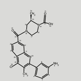 Cc1c(-c2cccc(N)c2)nc2cc(C(=O)N3CCN(C(=O)O)[C@H](C)C3)ccc2c1Cl